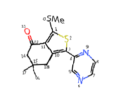 CSc1sc(-c2cnccn2)c2c1C(=O)CC(C)(C)C2